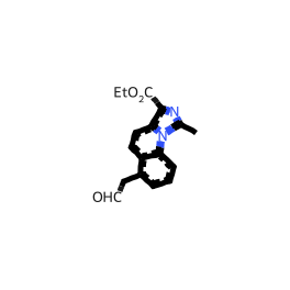 CCOC(=O)c1nc(C)n2c1ccc1c(CC=O)cccc12